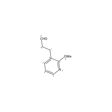 COc1ncccc1CCC=O